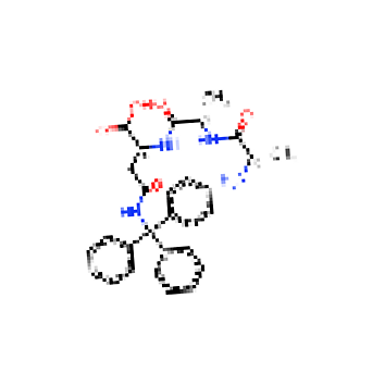 C[C@H](N)C(=O)N[C@@H](C)C(=O)N[C@@H](CC(=O)NC(c1ccccc1)(c1ccccc1)c1ccccc1)C(=O)O